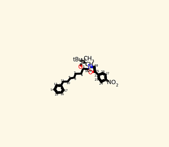 CC(C)(C)[Si](C)(C)OC(CCCCCCc1ccccc1)c1ncc(-c2ccc([N+](=O)[O-])cc2)o1